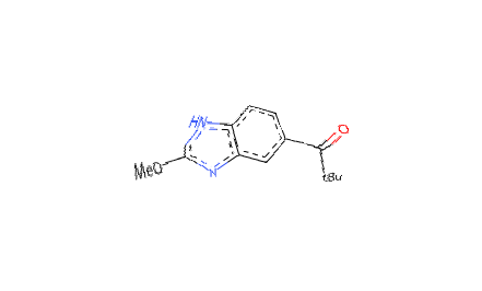 COc1nc2cc(C(=O)C(C)(C)C)ccc2[nH]1